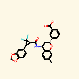 Cc1ccc2c(c1)O[C@@H](c1cccc(C(=O)O)c1)C[C@@H]2NC(=O)C1C(c2ccc3c(c2)OCO3)C1(F)F